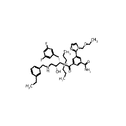 CCC[N+](CCC)(C(=O)c1cc(C(N)=O)cc(-c2nccn2COCC)c1)[C@@H](Cc1cc(F)cc(F)c1)[C@H](O)CNCc1cccc(CC)c1